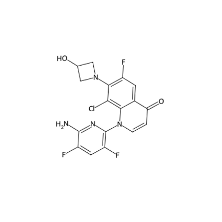 Nc1nc(-n2ccc(=O)c3cc(F)c(N4CC(O)C4)c(Cl)c32)c(F)cc1F